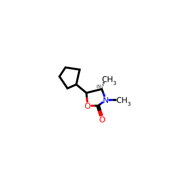 C[C@H]1C(C2CCCC2)OC(=O)N1C